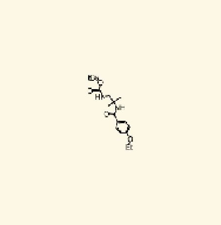 CCOc1ccc(C(=O)NC(C)(C)CNC(=O)OC(C)(C)C)cc1